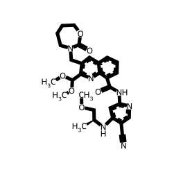 COC[C@H](C)Nc1cc(NC(=O)c2cccc3cc(CN4CCCCOC4=O)c(C(OC)OC)nc23)ncc1C#N